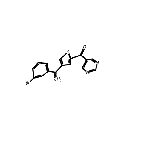 C=C(c1cccc(Br)c1)c1csc(C(=O)c2cncnc2)c1